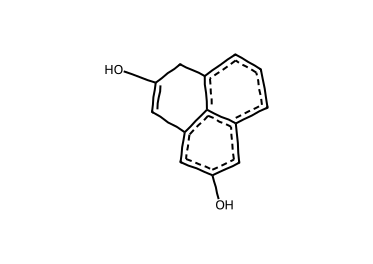 OC1=Cc2cc(O)cc3cccc(c23)C1